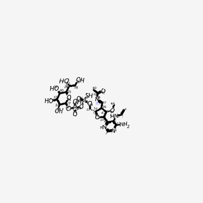 C=CNc1c(N)ncnc1C1O[C@H](COP(=O)(S)OP(=O)(O)OC2OC([C@@H](O)CO)C(O)C(O)C2O)C(/C=N/C(C)=O)[C@H]1OC